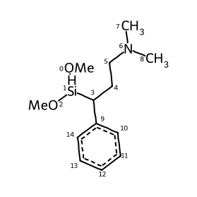 CO[SiH](OC)C(CCN(C)C)c1ccccc1